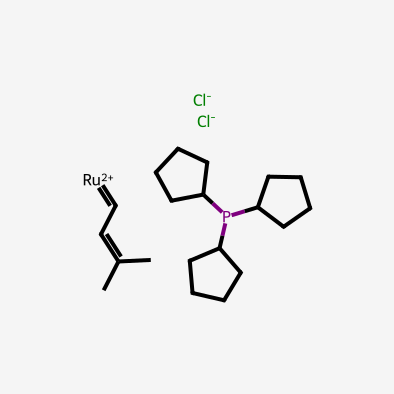 C1CCC(P(C2CCCC2)C2CCCC2)C1.CC(C)=C[CH]=[Ru+2].[Cl-].[Cl-]